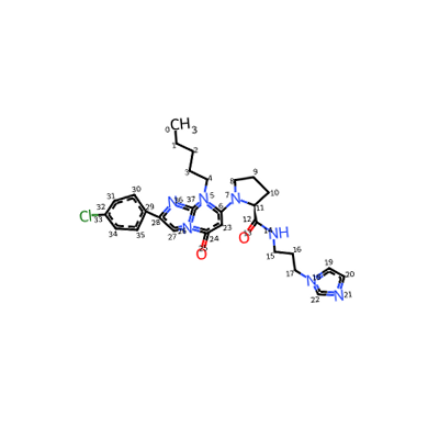 CCCCCn1c(N2CCC[C@H]2C(=O)NCCCn2ccnc2)cc(=O)n2cc(-c3ccc(Cl)cc3)nc12